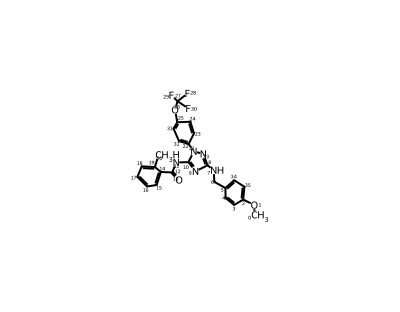 COc1ccc(CNc2nc(NC(=O)c3ccccc3C)n(-c3ccc(OC(F)(F)F)cc3)n2)cc1